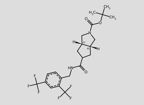 CC(C)(C)OC(=O)N1C[C@H]2CC(C(=O)NCc3ccc(C(F)(F)F)cc3C(F)(F)F)C[C@H]2C1